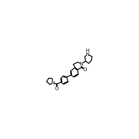 O=C(c1ccc(-c2ccc3c(c2)CCN(C2CCCNC2)C3=O)cc1)N1CCCC1